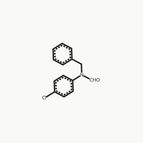 O=[C]N(Cc1ccccc1)c1ccc(Cl)cc1